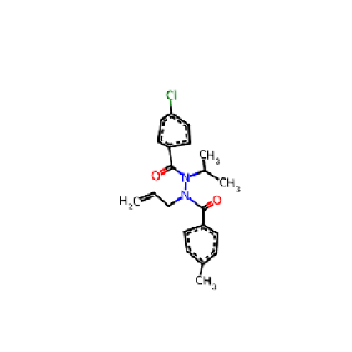 C=CCN(C(=O)c1ccc(C)cc1)N(C(=O)c1ccc(Cl)cc1)C(C)C